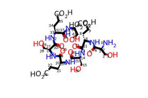 N[C@@H](CO)C(=O)N[C@@H](CCC(=O)O)C(=O)N[C@@H](CO)C(=O)N[C@@H](CCC(=O)O)C(=O)N[C@@H](CO)C(=O)N[C@@H](CCC(=O)O)C(=O)N[C@@H](CO)C(=O)O